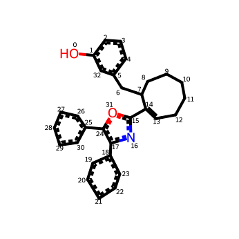 Oc1cccc(CC2CCCCCC=C2c2nc(-c3ccccc3)c(-c3ccccc3)o2)c1